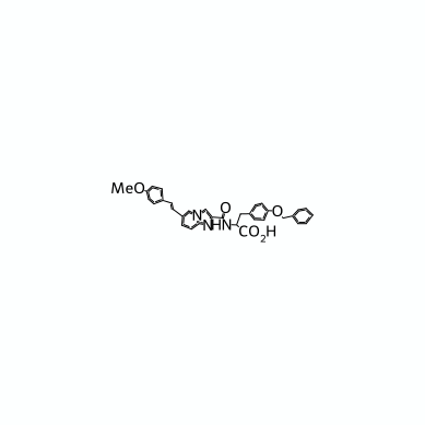 COc1ccc(C=Cc2ccc3nc(C(=O)NC(Cc4ccc(OCc5ccccc5)cc4)C(=O)O)cn3c2)cc1